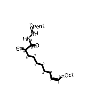 CCCCCCCC/C=C\CCCCCCC(CC)C(=O)NNCCCCC